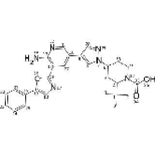 CC(C)(C)C1CC(n2cc(-c3cnc(N)c(-c4ncc(-c5ccccc5)o4)c3)cn2)CCN1C(=O)O